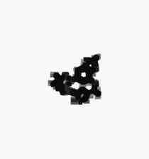 Cc1nc2cc(B3OC(C)(C)C(C)(C)O3)cc(OC(C)[C@H]3CNC(=O)C3)c2s1